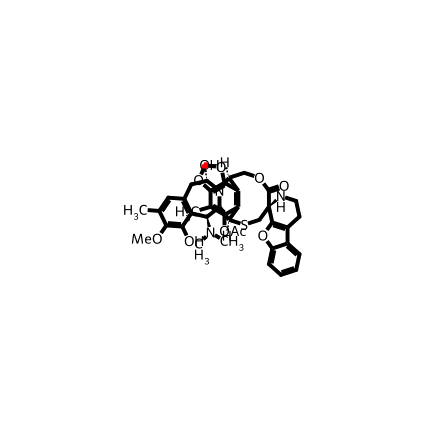 COc1c(C)cc2c(c1O)[C@H](N(C)C)C1[C@@H]3SC[C@]4(NCCc5c4oc4ccccc54)C(=O)OC[C@@H](c4c5c(c(C)c(OC(C)=O)c43)OCO5)N1[C@@H](O)C2